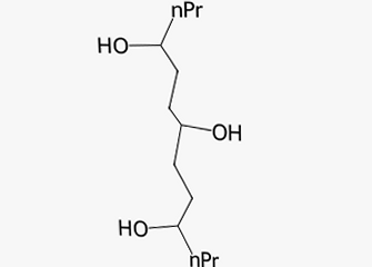 CCCC(O)CCC(O)CCC(O)CCC